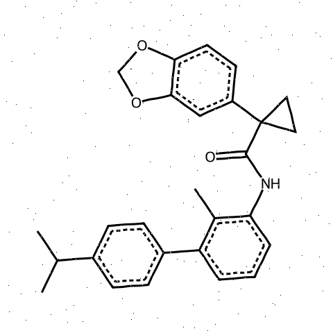 Cc1c(NC(=O)C2(c3ccc4c(c3)OCO4)CC2)cccc1-c1ccc(C(C)C)cc1